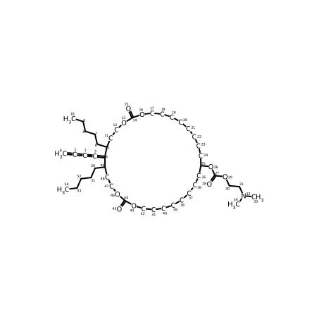 C=C=C=C=C1C(CCCCC)CCOC(=O)OCCCCCCCCC(OC(=O)OCCN(C)C)CCCCCCCCOC(=O)OCCC1CCCCC